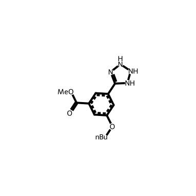 CCCCOc1cc(C(=O)OC)cc(C2=NNNN2)c1